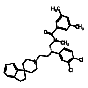 Cc1cc(C)cc(C(=O)N(C)C[C@@H](CCN2CCC3(CCc4ccccc43)CC2)c2ccc(Cl)c(Cl)c2)c1